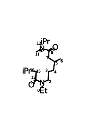 CCN(CCCC(C)CC(=O)N(C)C(C)C)C(=O)CC(C)C